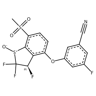 CS(=O)(=O)c1ccc(Oc2cc(F)cc(C#N)c2)c2c1[S+]([O-])C(F)(F)[C@@H]2F